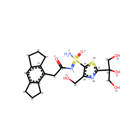 NS(=O)(=NC(=O)Cc1c2c(cc3c1CCC3)CCC2)c1sc(C(O)(CO)CO)nc1CO